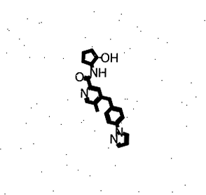 Cc1cnc(C(=O)NC2CCC[C@@H]2O)cc1Cc1ccc(-n2cccn2)cc1